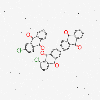 O=C1c2ccccc2C(=O)c2c(Cl)cccc21.O=C1c2ccccc2C(=O)c2cc(Cl)ccc21.O=C1c2ccccc2C(=O)c2ccccc21